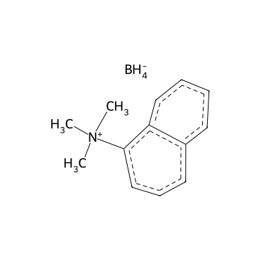 C[N+](C)(C)c1cccc2ccccc12.[BH4-]